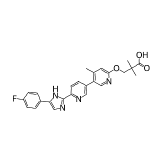 Cc1cc(OCC(C)(C)C(=O)O)ncc1-c1ccc(-c2ncc(-c3ccc(F)cc3)[nH]2)nc1